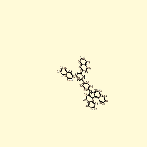 c1ccc2cc(-c3cc(-c4ccc5ccccc5c4)nc(-c4ccc(-n5c6ccc7ccccc7c6c6c7ccccc7ccc65)cc4)n3)ccc2c1